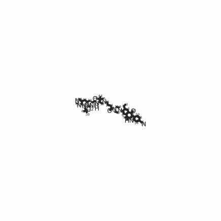 CCc1cc2c(cc1N1CCN(C(=O)CCCN3C[C@H](NC(=O)[C@H](CCCc4cncnc4N)NC(=O)OC(C)(C)C)C(C)(C)C3)CC1)C(C)(C)c1[nH]c3cc(C#N)ccc3c1C2=O